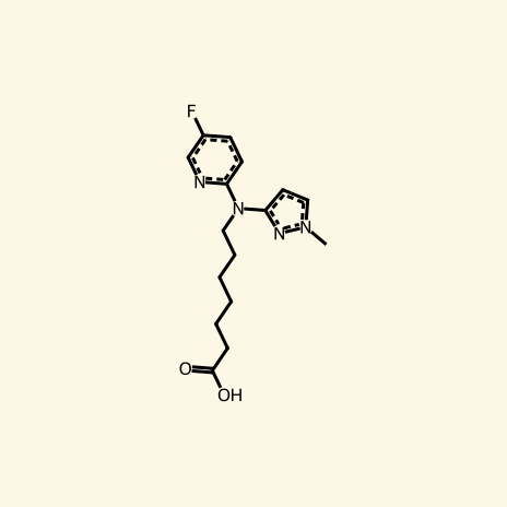 Cn1ccc(N(CCCCCCC(=O)O)c2ccc(F)cn2)n1